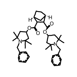 CC1(C)CC(OC(=O)C2C(C(=O)OC3CC(C)(C)N(Cc4ccccc4)C(C)(C)C3)[C@H]3CC[C@@H]2C3)CC(C)(C)N1Cc1ccccc1